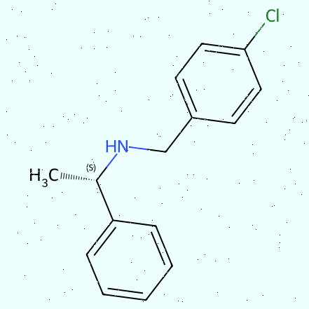 C[C@H](NCc1ccc(Cl)cc1)c1ccccc1